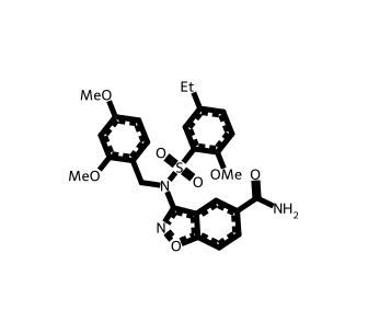 CCc1ccc(OC)c(S(=O)(=O)N(Cc2ccc(OC)cc2OC)c2noc3ccc(C(N)=O)cc23)c1